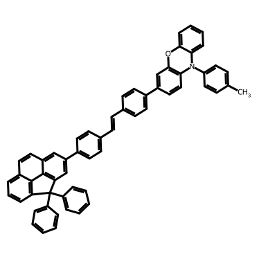 Cc1ccc(N2c3ccccc3Oc3cc(-c4ccc(/C=C/c5ccc(-c6cc7c8c(ccc9cccc(c98)C7(c7ccccc7)c7ccccc7)c6)cc5)cc4)ccc32)cc1